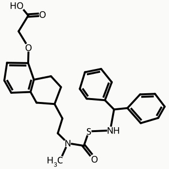 CN(CCC1CCc2c(cccc2OCC(=O)O)C1)C(=O)SNC(c1ccccc1)c1ccccc1